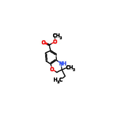 CCC1(C)COc2ccc(C(=O)OC)cc2N1